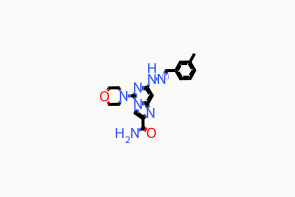 Cc1cccc(/C=N/Nc2cc3nc(C(N)=O)cn3c(N3CCOCC3)n2)c1